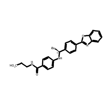 CCC(C)[C@H](Nc1ccc(C(=O)NCCC(=O)O)cc1)c1ccc(-c2nc3ccccc3o2)cc1